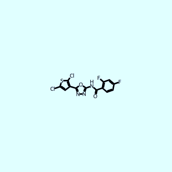 O=C(Nc1nnc(-c2cc(Cl)sc2Cl)o1)c1ccc(F)cc1F